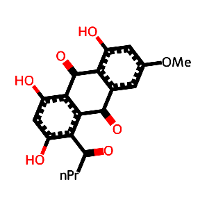 CCCC(=O)c1c(O)cc(O)c2c1C(=O)c1cc(OC)cc(O)c1C2=O